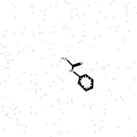 NC(=O)Pc1ccccc1